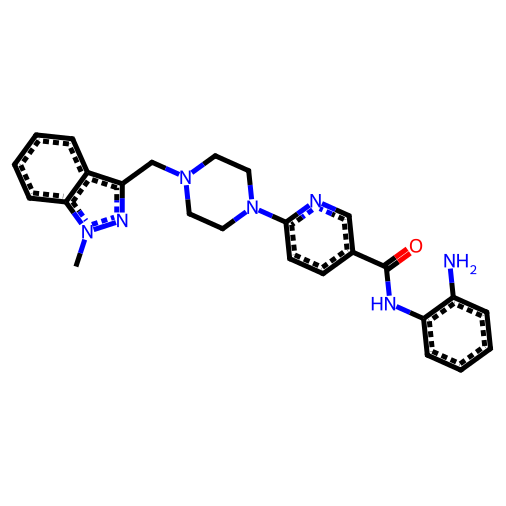 Cn1nc(CN2CCN(c3ccc(C(=O)Nc4ccccc4N)cn3)CC2)c2ccccc21